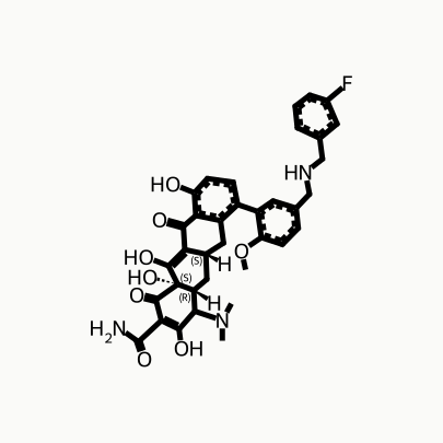 COc1ccc(CNCc2cccc(F)c2)cc1-c1ccc(O)c2c1C[C@@H]1C[C@@H]3C(N(C)C)C(O)=C(C(N)=O)C(=O)[C@@]3(O)C(O)=C1C2=O